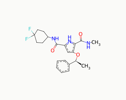 CNC(=O)c1[nH]c(C(=O)NC2CCC(F)(F)CC2)cc1O[C@@H](C)c1ccccc1